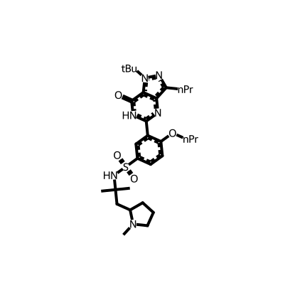 CCCOc1ccc(S(=O)(=O)NC(C)(C)CC2CCCN2C)cc1-c1nc2c(CCC)nn(C(C)(C)C)c2c(=O)[nH]1